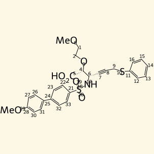 COCCO[C@@H](C(=O)O)[C@H](C#CCSc1ccccc1)NS(=O)(=O)c1ccc(-c2ccc(OC)cc2)cc1